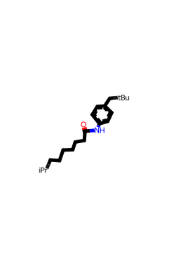 CC(C)CCCCCCC(=O)Nc1ccc(CC(C)(C)C)cc1